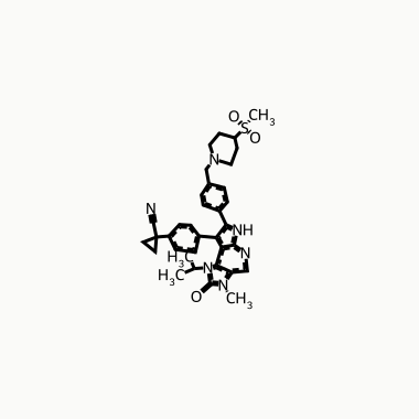 CC(C)n1c(=O)n(C)c2cnc3[nH]c(-c4ccc(CN5CCC(S(C)(=O)=O)CC5)cc4)c(-c4ccc(C5(C#N)CC5)cc4)c3c21